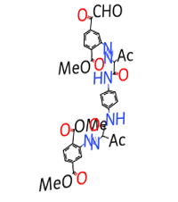 COC(=O)c1ccc(C(=O)OC)c(/N=N/C(C(C)=O)C(=O)Nc2ccc(NC(=O)C(/N=N/c3cc(C(=O)C=O)ccc3C(=O)OC)C(C)=O)cc2)c1